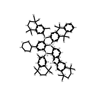 Cc1cc2c(cc1N1c3cc4c(cc3B3c5ccc6c(sc7cc8c(cc76)C(C)(C)CCC8(C)C)c5N(c5cc6c(cc5C)C(C)(C)CCC6(C)C)c5cc(C6CCCCC6)cc1c53)C(C)(C)c1ccccc1C4(C)C)C(C)(C)CCC2(C)C